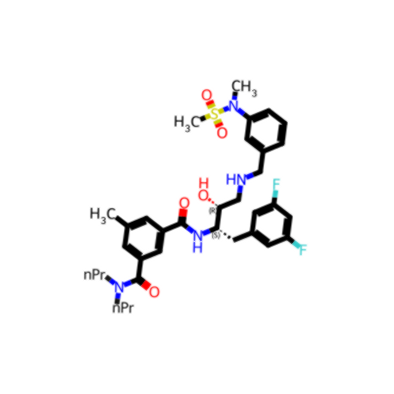 CCCN(CCC)C(=O)c1cc(C)cc(C(=O)N[C@@H](Cc2cc(F)cc(F)c2)[C@H](O)CNCc2cccc(N(C)S(C)(=O)=O)c2)c1